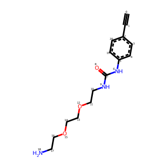 C#Cc1ccc(NC(=O)NCCOCCOCCN)cc1